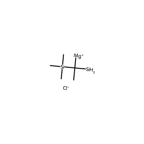 C[C]([Mg+])([SiH3])[Si](C)(C)C.[Cl-]